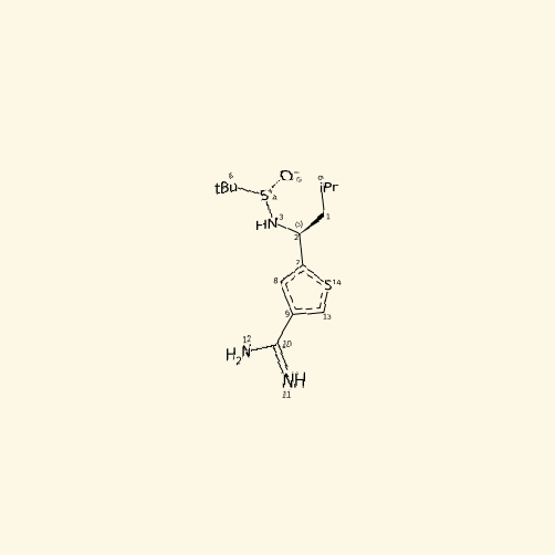 CC(C)C[C@H](N[S+]([O-])C(C)(C)C)c1cc(C(=N)N)cs1